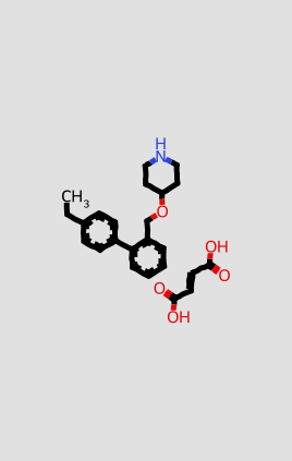 CCc1ccc(-c2ccccc2COC2CCNCC2)cc1.O=C(O)C=CC(=O)O